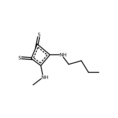 CCCCNc1c(NC)c(=S)c1=S